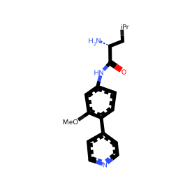 COc1cc(NC(=O)[C@H](N)CC(C)C)ccc1-c1ccncc1